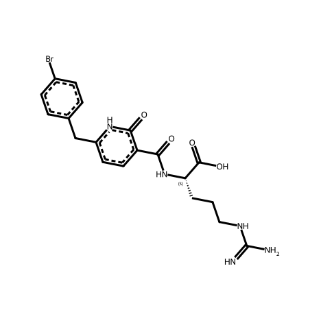 N=C(N)NCCC[C@H](NC(=O)c1ccc(Cc2ccc(Br)cc2)[nH]c1=O)C(=O)O